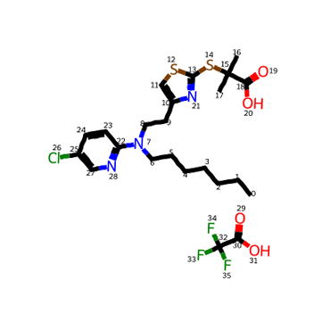 CCCCCCCN(CCc1csc(SC(C)(C)C(=O)O)n1)c1ccc(Cl)cn1.O=C(O)C(F)(F)F